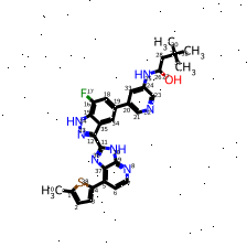 Cc1ccc(-c2ccnc3[nH]c(-c4n[nH]c5c(F)cc(-c6cncc(NC(O)CC(C)(C)C)c6)cc45)nc23)s1